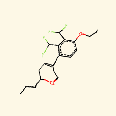 CCCC1CC=C(c2ccc(OCC)c(C(F)F)c2C(F)F)CO1